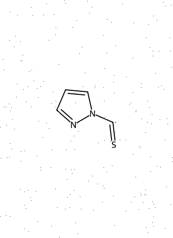 S=[C]n1cccn1